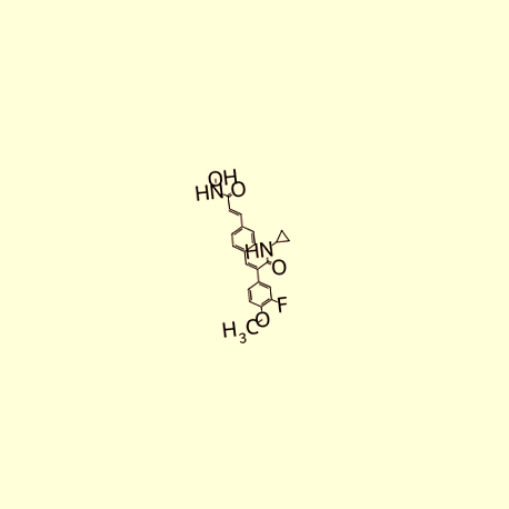 COc1ccc(/C(=C/c2ccc(/C=C/C(=O)NO)cc2)C(=O)NC2CC2)cc1F